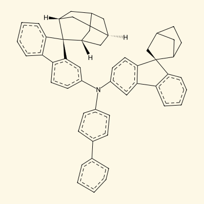 c1ccc(-c2ccc(N(c3ccc4c(c3)-c3ccccc3[C@]43CC4CCC3C4)c3ccc4c(c3)[C@]3(c5ccccc5-4)[C@@H]4CC5C[C@@H](C4)C[C@H]3C5)cc2)cc1